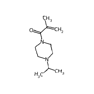 C=C(C)C(=O)N1CCN(C(C)C)CC1